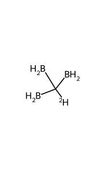 [2H]C(B)(B)B